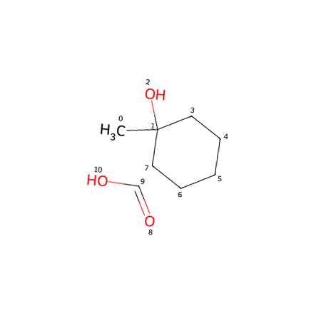 CC1(O)CCCCC1.O=CO